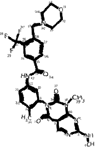 CNc1ncc2c(=O)n(-c3cc(NC(=O)c4ccc(CN5CCOCC5)c(C(F)(F)F)c4)ccc3C)c(=O)n(C)c2n1